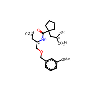 CCC[C@H](CC1(C(=O)N[C@@H](COCc2cccc(OC)c2)CC(=O)O)CCCC1)C(=O)O